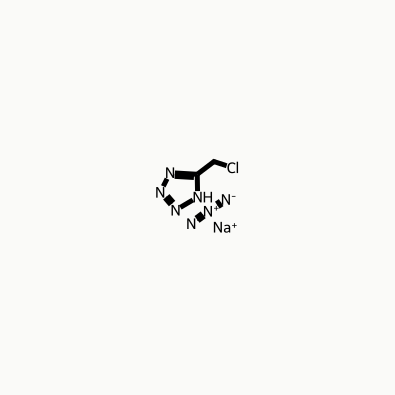 ClCc1nnn[nH]1.[N-]=[N+]=[N-].[Na+]